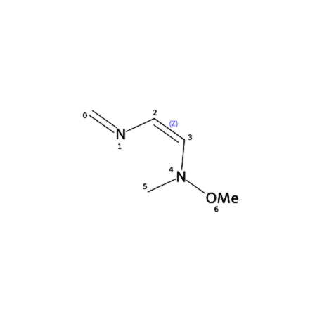 C=N/C=C\N(C)OC